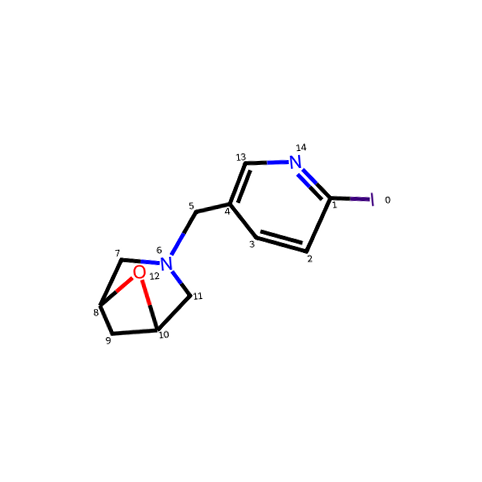 Ic1ccc(CN2CC3CC(C2)O3)cn1